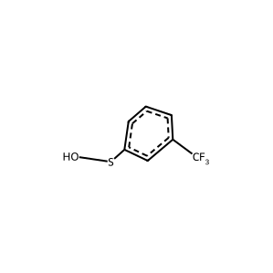 OSc1cccc(C(F)(F)F)c1